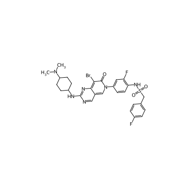 CN(C)C1CCC(Nc2ncc3cn(-c4ccc(NS(=O)(=O)Cc5ccc(F)cc5)c(F)c4)c(=O)c(Br)c3n2)CC1